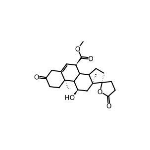 COC(=O)[C@@H]1C=C2CC(=O)CC[C@]2(C)C2C1C1CC[C@@]3(CCC(=O)O3)[C@@]1(C)C[C@H]2O